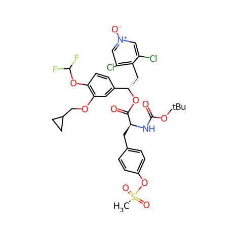 CC(C)(C)OC(=O)N[C@@H](Cc1ccc(OS(C)(=O)=O)cc1)C(=O)O[C@@H](Cc1c(Cl)c[n+]([O-])cc1Cl)c1ccc(OC(F)F)c(OCC2CC2)c1